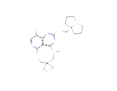 CN1CC2(COC2)COc2ncc(F)c3nc(OC[C@@]45CCCN4C[C@H](F)C5)nc1c23